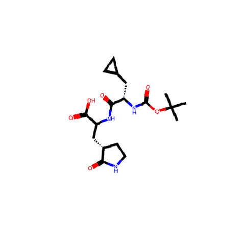 CC(C)(C)OC(=O)N[C@@H](CC1CC1)C(=O)NC(C[C@@H]1CCNC1=O)C(=O)O